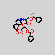 CO[C@@H](OC(CO)[C@H](C)OC(=O)c1ccccc1)[C@H](COC(=O)c1ccccc1)Nc1ccc2ccc(=O)oc2c1